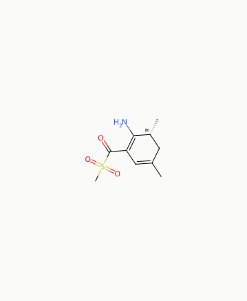 CC1=CC(C(=O)S(C)(=O)=O)=C(N)[C@H](C)C1